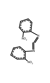 O=[N+]([O-])c1ccccc1N=C=Nc1ccccc1[N+](=O)[O-]